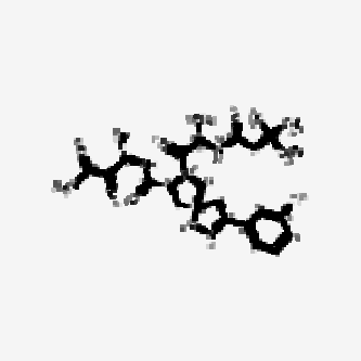 CCC[C@H](NC(=O)[C@@H]1C[C@]2(CC(c3cccc(Cl)c3)=NO2)CN1C(=O)[C@@H](NC(=O)CC(C)(C)OC)C(C)(C)C)C(=O)C(=O)NC